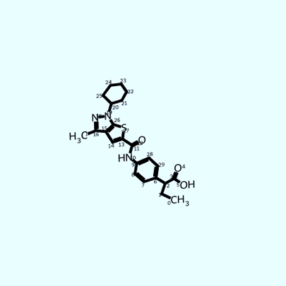 CCC(C(=O)O)c1ccc(NC(=O)c2cc3c(C)nn(C4CCCCC4)c3s2)cc1